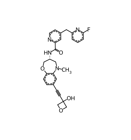 CN1C[C@@H](NC(=O)c2cc(Cc3cccc(F)n3)ccn2)COc2ccc(C#CC3(O)COC3)cc21